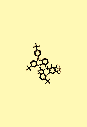 Cc1cc2c(c(C)c1N1c3cccc4c3B(c3cc(C(C)(C)C)ccc3N4c3ccc(C(C)(C)C)cc3)c3sc4ccc(C(C)(C)C)cc4c31)OCO2